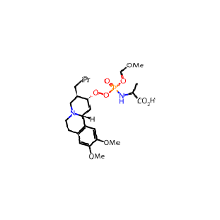 COCOP(=O)(NC(C)C(=O)O)OO[C@@H]1C[C@@H]2c3cc(OC)c(OC)cc3CCN2C[C@H]1CC(C)C